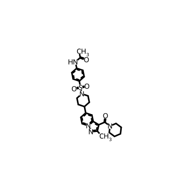 CC(=O)Nc1ccc(S(=O)(=O)N2CCC(c3ccn4nc(C)c(C(=O)N5CCCCC5)c4c3)CC2)cc1